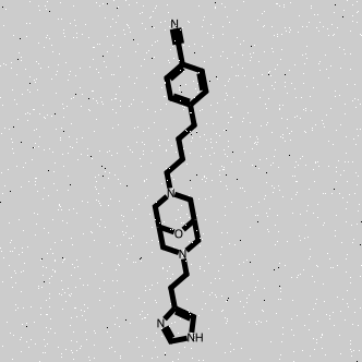 N#Cc1ccc(CCCCN2CC3CN(CCc4c[nH]cn4)CC(C2)O3)cc1